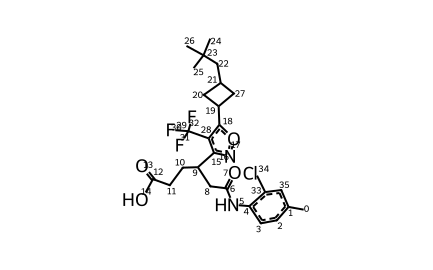 Cc1ccc(NC(=O)CC(CCC(=O)O)c2noc(C3CC(CC(C)(C)C)C3)c2C(F)(F)F)c(Cl)c1